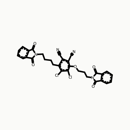 N#Cc1c(C#N)c(OCCCN2C(=O)c3ccccc3C2=O)c(Cl)c(Cl)c1CCCCN1C(=O)c2ccccc2C1=O